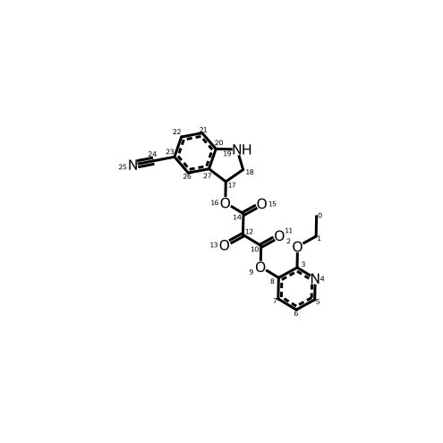 CCOc1ncccc1OC(=O)C(=O)C(=O)OC1CNc2ccc(C#N)cc21